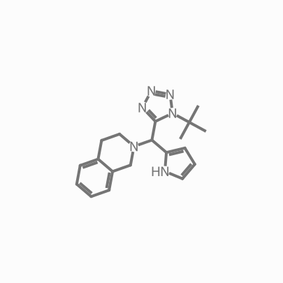 CC(C)(C)n1nnnc1C(c1ccc[nH]1)N1CCc2ccccc2C1